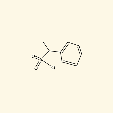 CC(c1ccccc1)S(=O)(=O)Cl